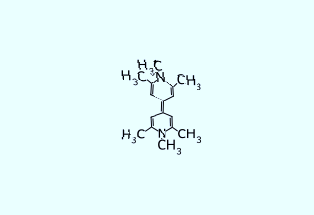 CC1=CC(=C2C=C(C)N(C)C(C)=C2)C=C(C)N1C